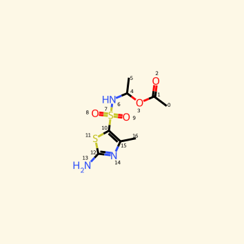 CC(=O)OC(C)NS(=O)(=O)c1sc(N)nc1C